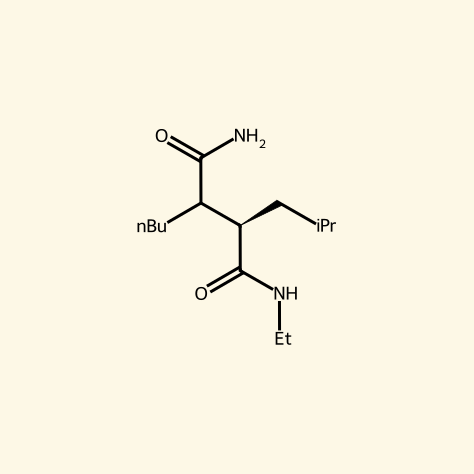 CCCCC(C(N)=O)[C@@H](CC(C)C)C(=O)NCC